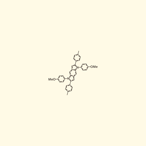 COc1ccc(-n2c(-c3ccc(C)cc3)cc3cc4c(cc(-c5ccc(C)cc5)n4-c4ccc(OC)cc4)cc32)cc1